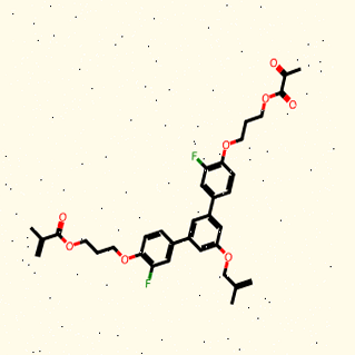 C=C(C)COc1cc(-c2ccc(OCCCOC(=O)C(=C)C)c(F)c2)cc(-c2ccc(OCCCOC(=O)C(C)=O)c(F)c2)c1